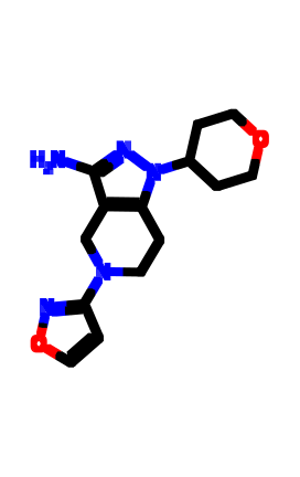 Nc1nn(C2CCOCC2)c2c1CN(c1ccon1)CC2